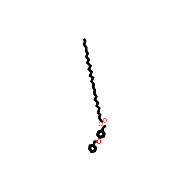 CCCCCCCCCCCCCCCCCCCCCCCCCCCC(=O)OC(C)c1ccc(OCc2ccccc2)cc1